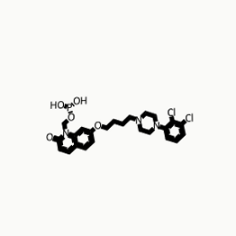 O=c1ccc2ccc(OCCCCN3CCN(c4cccc(Cl)c4Cl)CC3)cc2n1COP(O)O